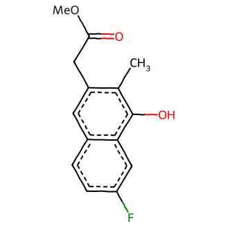 COC(=O)Cc1cc2ccc(F)cc2c(O)c1C